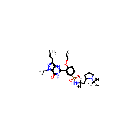 [2H]C([2H])(CC1CCCN1C([2H])([2H])[2H])NS(=O)(=O)c1ccc(OCCC)c(-c2nc3c(CCC)nn(C)c3c(=O)[nH]2)c1